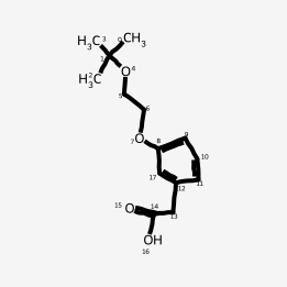 CC(C)(C)OCCOc1cccc(CC(=O)O)c1